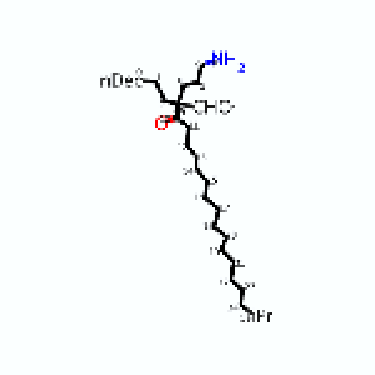 CCCCCCCCCCCCC([C]=O)(CCCN)C(=O)CCCCCCCCCCCCCCC(C)C